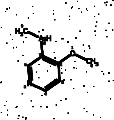 COc1ccncc1[AsH]C